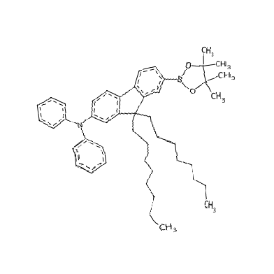 CCCCCCCCC1(CCCCCCCC)c2cc(B3OC(C)(C)C(C)(C)O3)ccc2-c2ccc(N(c3ccccc3)c3ccccc3)cc21